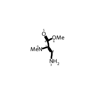 CN/C(=C\N)C(=O)OC